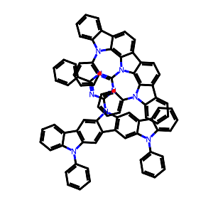 c1ccc(-c2nc(-n3c4cc5c6ccccc6n(-c6ccccc6)c5cc4c4cc5c(cc43)c3ccccc3n5-c3ccccc3)nc(-n3c4c(ccc5c6ccccc6n(-c6ccccc6)c54)c4ccc5c6ccccc6n(-c6ccccc6)c5c43)n2)cc1